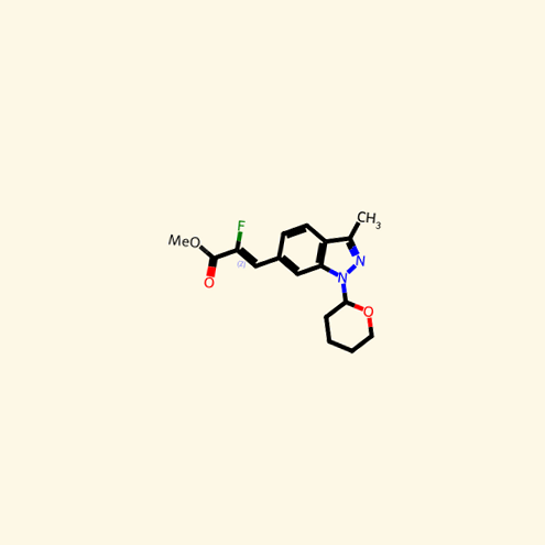 COC(=O)/C(F)=C/c1ccc2c(C)nn(C3CCCCO3)c2c1